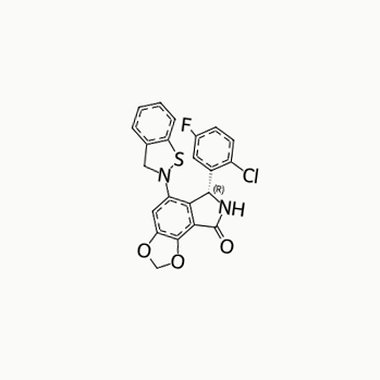 O=C1N[C@@H](c2cc(F)ccc2Cl)c2c(N3Cc4ccccc4S3)cc3c(c21)OCO3